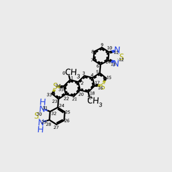 Cc1c2cc3c(-c4cccc5nsnc45)csc3c(C)c2cc2c(C3=CC=CC4NSNC34)csc12